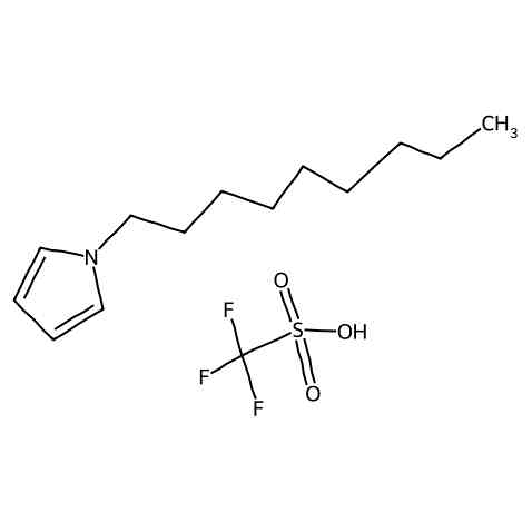 CCCCCCCCCn1cccc1.O=S(=O)(O)C(F)(F)F